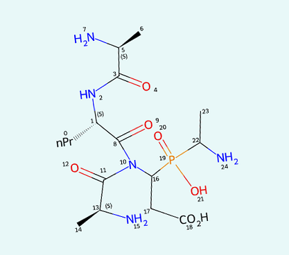 CCC[C@H](NC(=O)[C@H](C)N)C(=O)N(C(=O)[C@H](C)N)C(CC(=O)O)P(=O)(O)C(C)N